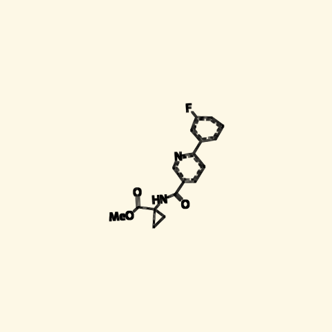 COC(=O)C1(NC(=O)c2ccc(-c3cccc(F)c3)nc2)CC1